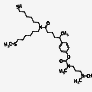 CSCCCCCCN(CCCCCCS)C(=O)CCCC(C)c1ccc(OC(=O)N(C)CCCN(C)C)cc1